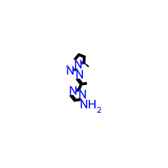 C=N/C(=N\C=C(/C)c1nccc(N)n1)N1CCC[C@H]1C